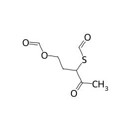 CC(=O)C(CCOC=O)SC=O